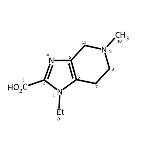 CCn1c(C(=O)O)nc2c1CCN(C)C2